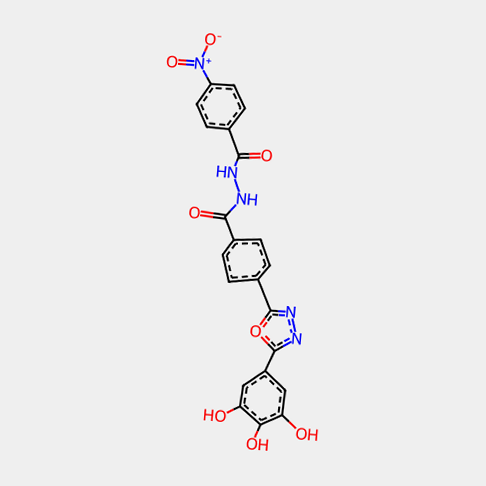 O=C(NNC(=O)c1ccc([N+](=O)[O-])cc1)c1ccc(-c2nnc(-c3cc(O)c(O)c(O)c3)o2)cc1